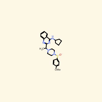 COc1ccc([S+]([O-])N2CCN(C(C)c3nc(NC4CCCC4)c4ccccc4n3)CC2)cc1